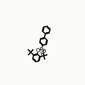 CC(C)(C)c1cccc(C(C)(C)C)c1O[PH](=O)c1ccc(-c2ccccc2)cc1